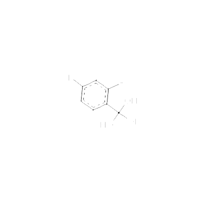 OC(O)(O)c1ccc(F)cc1F